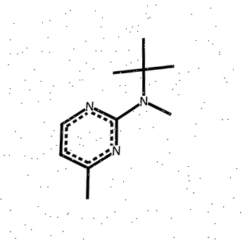 Cc1ccnc(N(C)C(C)(C)C)n1